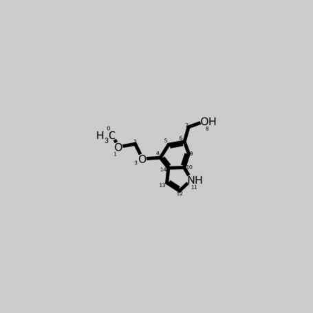 COCOc1cc(CO)cc2[nH]ccc12